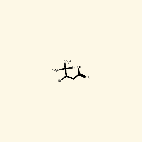 C=C(C)CC(CC)C(CC)(C(=O)O)C(=O)O